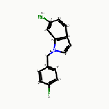 Fc1ccc(Cn2ccc3ccc(Br)cc32)cc1